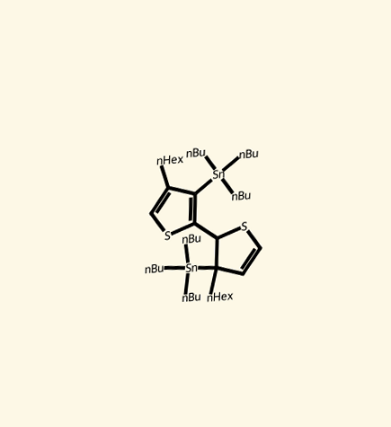 CCCCCCc1csc(C2SC=C[C]2(CCCCCC)[Sn]([CH2]CCC)([CH2]CCC)[CH2]CCC)[c]1[Sn]([CH2]CCC)([CH2]CCC)[CH2]CCC